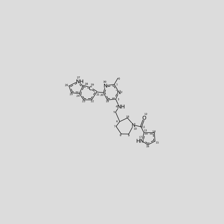 Cc1nc(NCC2CCCN(C(=O)c3ccc[nH]3)C2)cc(-c2ccc3cc[nH]c3c2)n1